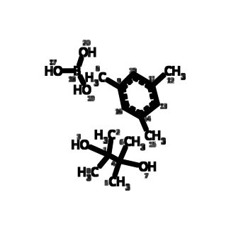 CC(C)(O)C(C)(C)O.Cc1cc(C)cc(C)c1.OB(O)O